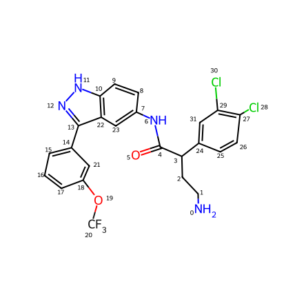 NCCC(C(=O)Nc1ccc2[nH]nc(-c3cccc(OC(F)(F)F)c3)c2c1)c1ccc(Cl)c(Cl)c1